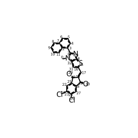 Cn1c(-c2cccc3ccccc23)nc2sc(C=C3C(=O)c4cc(Cl)c(Cl)cc4C3=O)cc21